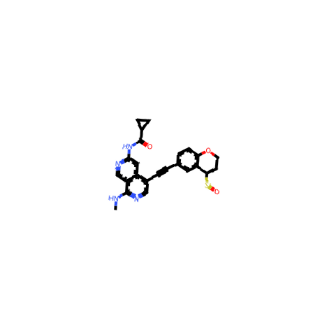 CNc1ncc(C#Cc2ccc3c(c2)C([S+]=O)CCO3)c2cc(NC(=O)C3CC3)ncc12